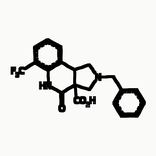 O=C(O)C12CN(Cc3ccccc3)CC1c1cccc(C(F)(F)F)c1NC2=O